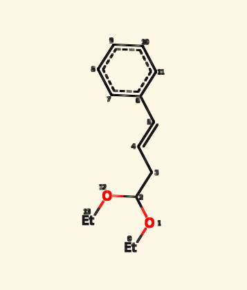 CCOC(CC=Cc1ccccc1)OCC